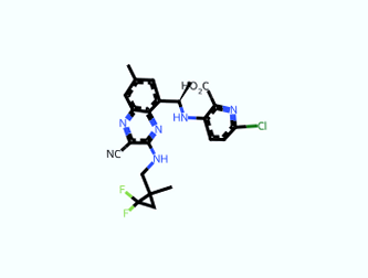 Cc1cc([C@@H](C)Nc2ccc(Cl)nc2C(=O)O)c2nc(NCC3(C)CC3(F)F)c(C#N)nc2c1